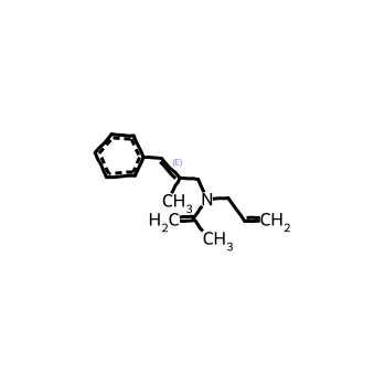 C=CCN(C/C(C)=C/c1ccccc1)C(=C)C